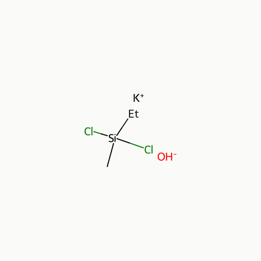 CC[Si](C)(Cl)Cl.[K+].[OH-]